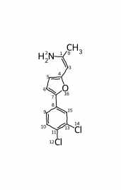 C/C(N)=C/c1ccc(-c2ccc(Cl)c(Cl)c2)o1